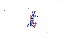 CCN(CC)CCNC(=O)c1ccc(-c2nnc3c(n2)c(=O)n(C)c(=O)n3Cc2cccnc2)cc1